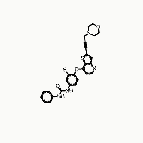 O=C(Nc1ccccc1)Nc1ccc(Oc2ccnc3cc(C#CCN4CCOCC4)sc23)c(F)c1